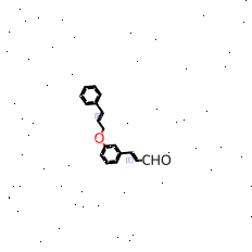 O=C/C=C/c1cccc(OC/C=C/c2ccccc2)c1